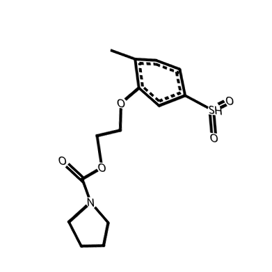 Cc1ccc([SH](=O)=O)cc1OCCOC(=O)N1CCCC1